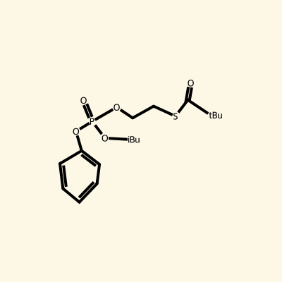 CCC(C)OP(=O)(OCCSC(=O)C(C)(C)C)Oc1ccccc1